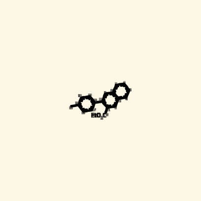 CCOC(=O)c1cc2ccccc2cc1-c1ccc(C)cc1